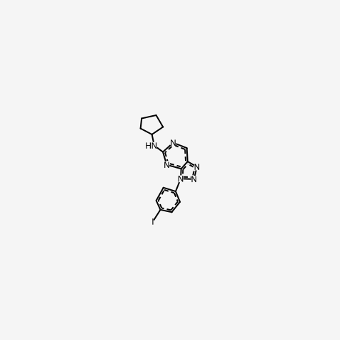 Ic1ccc(-n2nnc3cnc(NC4CCCC4)nc32)cc1